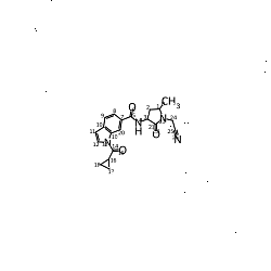 CC1CC(NC(=O)c2ccc3ccn(C(=O)C4CC4)c3c2)C(=O)N1CC#N